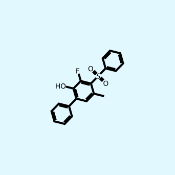 Cc1cc(-c2ccccc2)c(O)c(F)c1S(=O)(=O)c1ccccc1